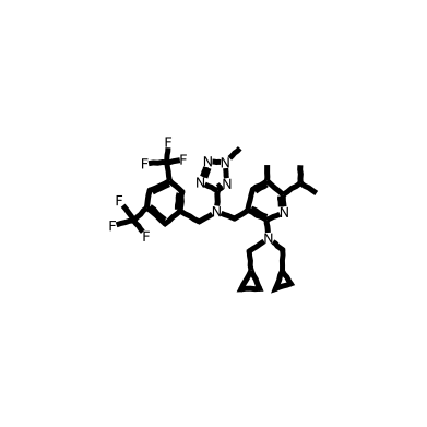 Cc1cc(CN(Cc2cc(C(F)(F)F)cc(C(F)(F)F)c2)c2nnn(C)n2)c(N(CC2CC2)CC2CC2)nc1C(C)C